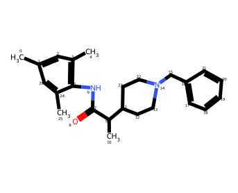 Cc1cc(C)c(NC(=O)C(C)C2CCN(Cc3ccccc3)CC2)c(C)c1